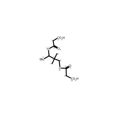 CC(C)(C)C(OC(=O)CC(=O)O)C(C)(C)COC(=O)CC(=O)O